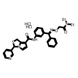 CCN(CC)C(=O)CON=C(c1ccccc1)c1cccc(NC(=O)c2ccn3c2CSC3c2cccnc2)c1.Cl.Cl